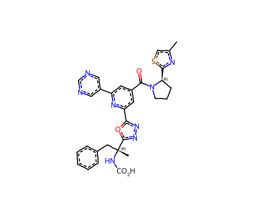 Cc1csc([C@H]2CCCN2C(=O)c2cc(-c3cncnc3)nc(-c3nnc([C@@](C)(Cc4ccccc4)NC(=O)O)o3)c2)n1